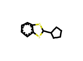 c1ccc2c(c1)SC(C1CCCC1)S2